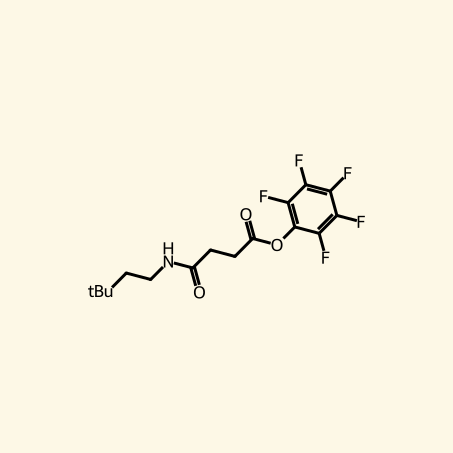 CC(C)(C)CCNC(=O)CCC(=O)Oc1c(F)c(F)c(F)c(F)c1F